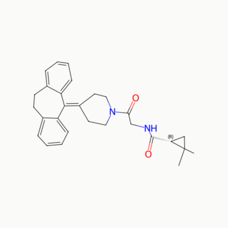 CC1(C)C[C@H]1C(=O)NCC(=O)N1CCC(=C2c3ccccc3CCc3ccccc32)CC1